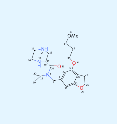 COCCCOc1cc(CN(C(=O)[C@H]2CNCCN2)C2CC2)cc2c1CCO2